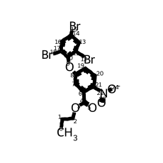 CCCOC(=O)c1cc(Oc2c(Br)cc(Br)cc2Br)ccc1[N+](=O)[O-]